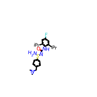 CC(C)c1cc(F)cc(C(C)C)c1NC(=O)/N=S(\N)c1ccc(CN(C)C)cc1